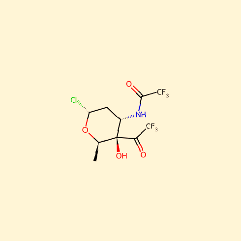 C[C@H]1O[C@H](Cl)C[C@H](NC(=O)C(F)(F)F)[C@]1(O)C(=O)C(F)(F)F